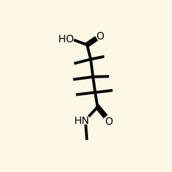 CNC(=O)C(C)(C)C(C)(C)C(C)(C)C(=O)O